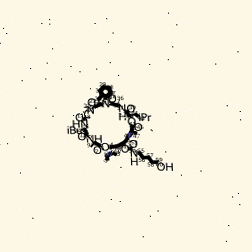 C/C=C(\C)[C@H]1OC(=O)[C@@H](C)NC(=O)[C@H](C(C)CC)NC(=O)CN(C)C(=O)[C@@H](Cc2ccccc2)N(C)C(=O)[C@H](C)NC(=O)[C@@H](CC(C)C)OC(=O)/C(C)=C/C[C@H](OC(=O)NCCCCCO)[C@@H]1C